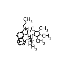 CCCC1C=[C]([Hf+]([CH]2C(C)=C(C)C(C)=C2C)[SiH](C)C)c2c1ccc1ccccc21